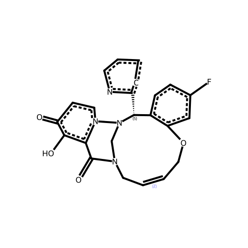 O=C1c2c(O)c(=O)ccn2N2CN1C/C=C\COc1cc(F)ccc1[C@H]2c1ccccn1